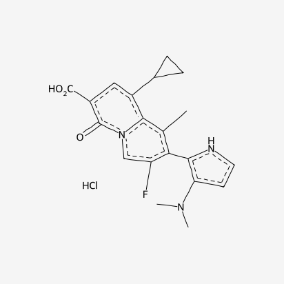 Cc1c(-c2[nH]ccc2N(C)C)c(F)cn2c(=O)c(C(=O)O)cc(C3CC3)c12.Cl